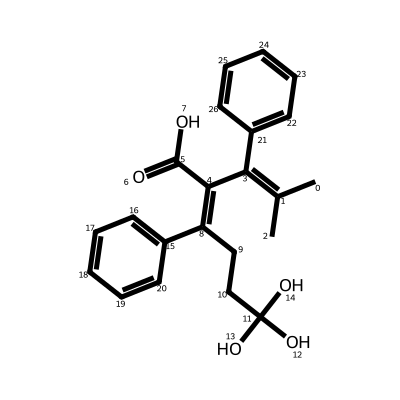 CC(C)=C(C(C(=O)O)=C(CCC(O)(O)O)c1ccccc1)c1ccccc1